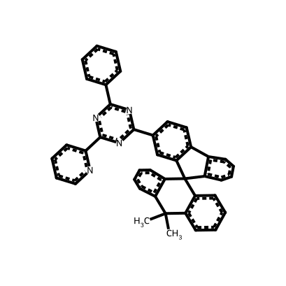 CC1(C)c2ccccc2C2(c3ccccc3-c3ccc(-c4nc(-c5ccccc5)nc(-c5ccccn5)n4)cc32)c2ccccc21